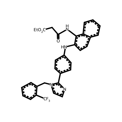 CCOC(=O)CC(=O)Nc1c(Nc2ccc(-c3nccn3Cc3ccccc3C(F)(F)F)cc2)ccc2ccccc12